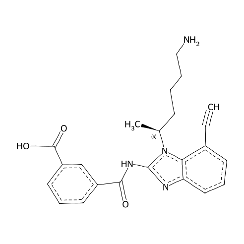 C#Cc1cccc2nc(NC(=O)c3cccc(C(=O)O)c3)n([C@@H](C)CCCCN)c12